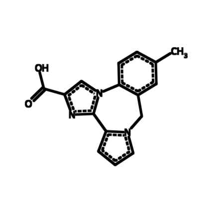 Cc1ccc2c(c1)Cn1cccc1-c1nc(C(=O)O)cn1-2